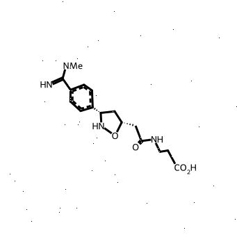 CNC(=N)c1ccc([C@@H]2C[C@H](CC(=O)NCCC(=O)O)ON2)cc1